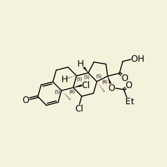 CCC(=O)O[C@]1(C(=O)CO)CC[C@H]2[C@@H]3CCC4=CC(=O)C=C[C@]4(C)[C@@]3(Cl)C(Cl)C[C@@]21C